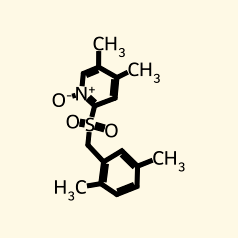 Cc1ccc(C)c(CS(=O)(=O)c2cc(C)c(C)c[n+]2[O-])c1